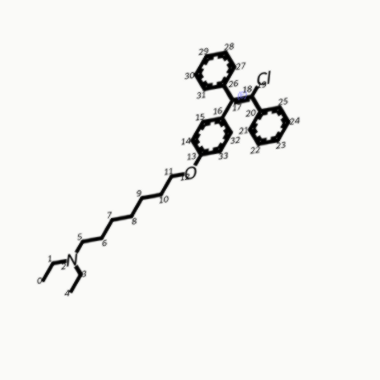 CCN(CC)CCCCCCCOc1ccc(/C(=C(/Cl)c2ccccc2)c2ccccc2)cc1